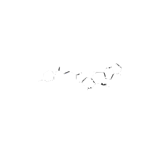 CN1CCN(C(=O)/C=C/c2cc3c(Nc4ccc5[nH]ccc5c4)c(C#N)cnc3s2)CC1